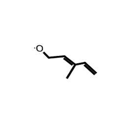 C=C/C(C)=C/C[O]